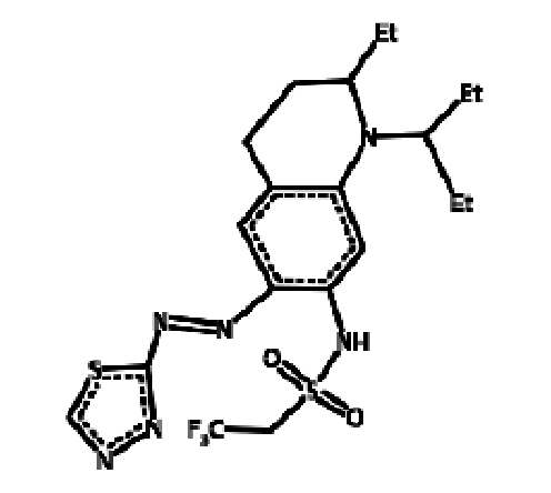 CCC(CC)N1c2cc(NS(=O)(=O)CC(F)(F)F)c(N=Nc3nncs3)cc2CCC1CC